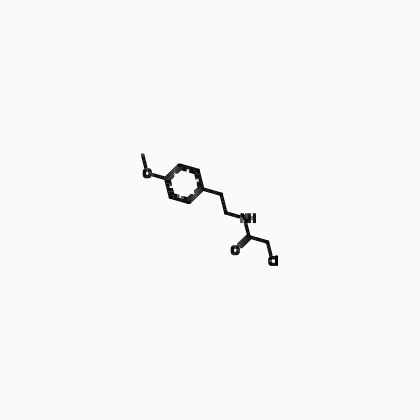 COc1ccc(CCNC(=O)CCl)cc1